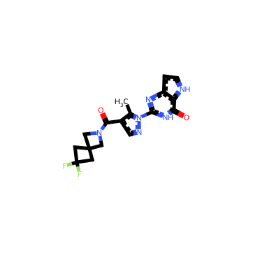 Cc1c(C(=O)N2CC3(C2)CC(F)(F)C3)cnn1-c1nc2cc[nH]c2c(=O)[nH]1